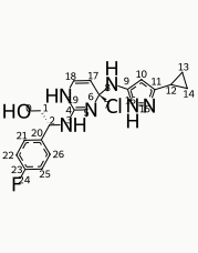 OC[C@H](NC1=N[C@@](Cl)(Nc2cc(C3CC3)n[nH]2)C=CN1)c1ccc(F)cc1